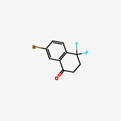 O=C1CCC(F)(F)c2ccc(Br)cc21